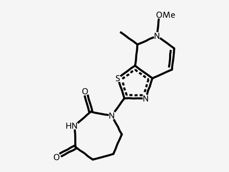 CON1C=Cc2nc(N3CCCC(=O)NC3=O)sc2C1C